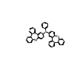 c1ccc(N(c2ccc3c(c2)-c2ccccc2-c2ccccc2O3)c2ccc3c(c2)-c2ccccc2-c2ccccc2O3)cc1